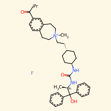 CC(C)C(=O)c1ccc2c(c1)CC[N+](C)(CC[C@H]1CC[C@H](NC(=O)N[C@H](C)C(O)(c3ccccc3)c3ccccc3)CC1)CC2.[I-]